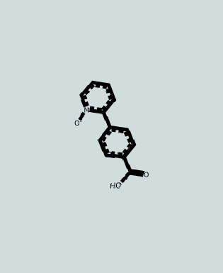 O=C(O)c1ccc(-c2cccc[n+]2[O-])cc1